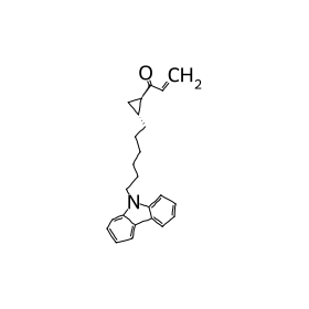 C=CC(=O)[C@@H]1C[C@H]1CCCCCCn1c2ccccc2c2ccccc21